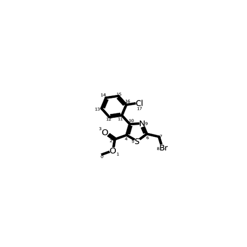 COC(=O)c1sc(CBr)nc1-c1ccccc1Cl